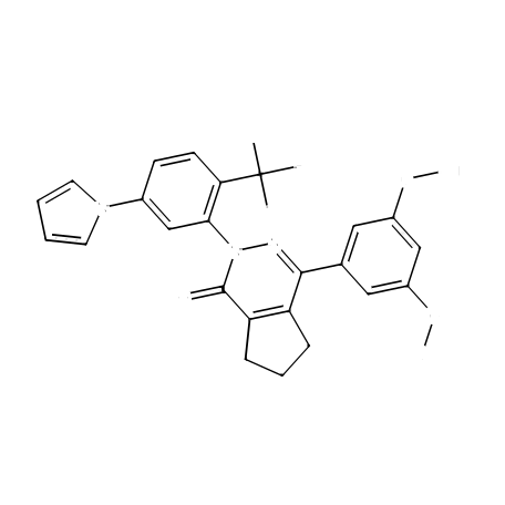 COc1cc(OC)cc(-c2nn(-c3cc(-n4cccc4)ccc3C(F)(F)F)c(=O)c3c2CCC3)c1